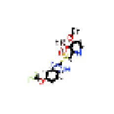 CCOc1ccnc(C[S+]([O-])c2nc3cc(OC(F)F)ccc3[nH]2)c1OCC